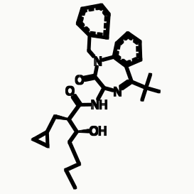 CCCC[C@H](O)[C@@H](CC1CC1)C(=O)NC1N=C(C(C)(C)C)c2ccccc2N(Cc2ccccc2)C1=O